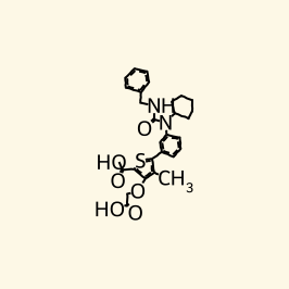 Cc1c(-c2cccc(N(C(=O)NCc3ccccc3)C3CCCCC3)c2)sc(C(=O)O)c1OCC(=O)O